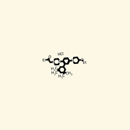 CCOC1CCN(c2ccc(N3CCN(CC(=O)CC)CC3)c(C3CC(C)(C)CC(C)(C)C3)c2)CC1.Cl